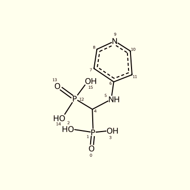 O=P(O)(O)C(Nc1ccncc1)P(=O)(O)O